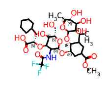 CCC1CC(C(=O)OC)C[C@@H](O[C@@H]2O[C@@H](CO)[C@H](O)C(O[C@@H](CC3CCCCC3)C(=O)O)C2NC(=O)C(F)(F)F)[C@@H]1OC1O[C@@H](C)[C@H](O)C(O)[C@@H]1O